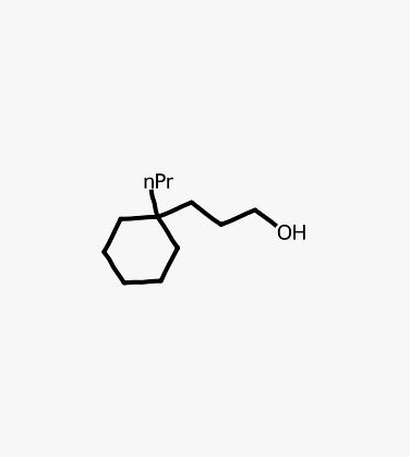 CCCC1(CCCO)CCCCC1